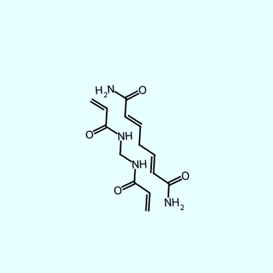 C=CC(=O)NCNC(=O)C=C.NC(=O)C=CCC=CC(N)=O